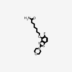 NC(=O)CCCCCCOc1c(F)ccc2sc(N3CCOCC3)nc12